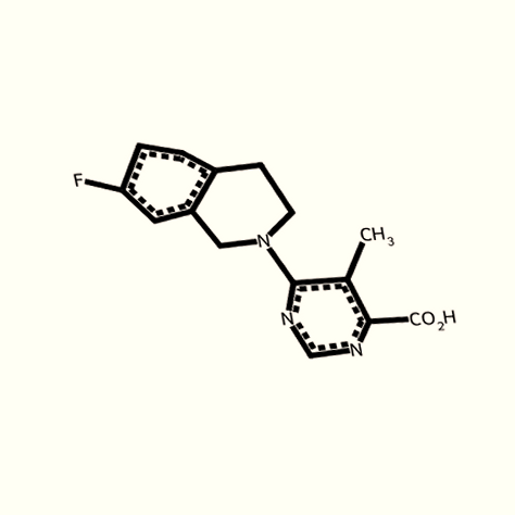 Cc1c(C(=O)O)ncnc1N1CCc2ccc(F)cc2C1